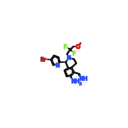 COCC(F)(F)CN1CCc2c(ccc(N)c2C=N)C1c1ccc(Br)cn1